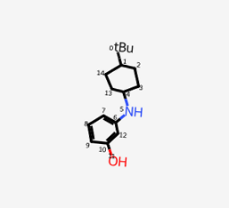 CC(C)(C)C1CCC(Nc2cccc(O)c2)CC1